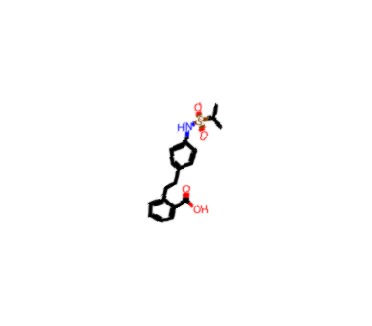 CC(C)S(=O)(=O)Nc1ccc(CCc2ccccc2C(=O)O)cc1